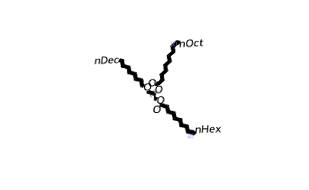 CCCCCC/C=C\CCCCCCCC(=O)OC[C@@H](COCCCCCCCCCCCCCCCCCC)OC(=O)CCCCCCC/C=C\CCCCCCCC